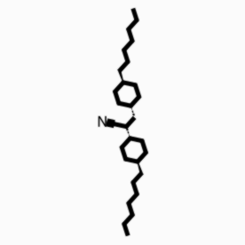 CCCCCCC[C@H]1CC[C@H](CC(C#N)[C@H]2CC[C@H](CCCCCCC)CC2)CC1